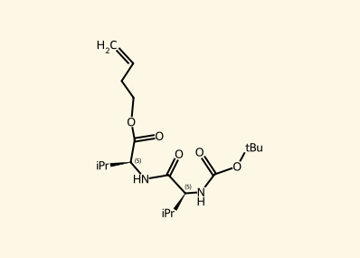 C=CCCOC(=O)[C@@H](NC(=O)[C@@H](NC(=O)OC(C)(C)C)C(C)C)C(C)C